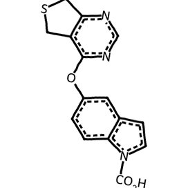 O=C(O)n1ccc2cc(Oc3ncnc4c3CSC4)ccc21